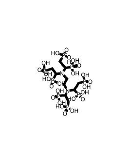 O=P(O)(O)CC(N(CCN(C(CP(=O)(O)O)P(=O)(O)O)C(CP(=O)(O)O)P(=O)(O)O)C(CP(=O)(O)O)P(=O)(O)O)P(=O)(O)O